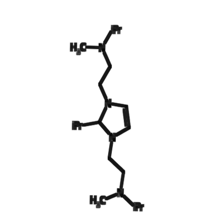 CC(C)C1N(CCN(C)C(C)C)C=CN1CCN(C)C(C)C